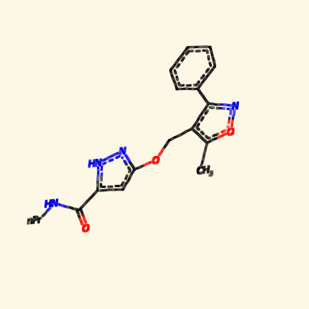 CCCNC(=O)c1cc(OCc2c(-c3ccccc3)noc2C)n[nH]1